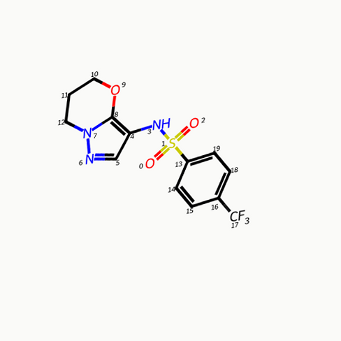 O=S(=O)(Nc1cnn2c1OCCC2)c1ccc(C(F)(F)F)cc1